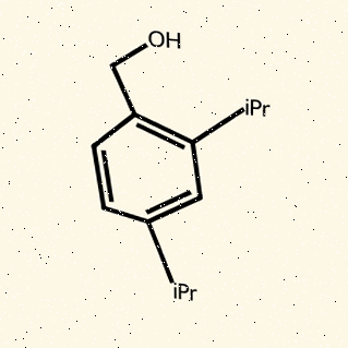 CC(C)c1ccc(CO)c(C(C)C)c1